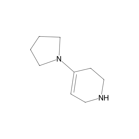 C1=C(N2CCCC2)CCNC1